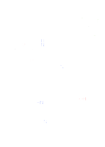 Cc1nc(-c2cc(C(F)(F)F)ccc2CNC(=O)OC(C)(C)C)ccc1C(O)c1c[nH]c2ncccc12